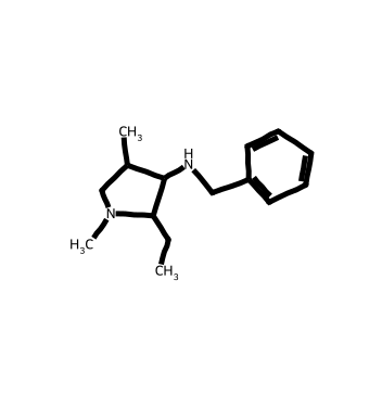 CCC1C(NCc2ccccc2)C(C)CN1C